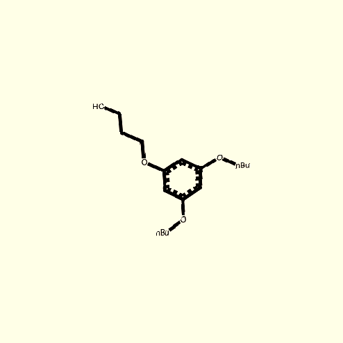 CCCCOc1cc(OCCCC)cc(OCCCO)c1